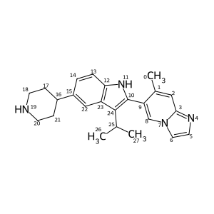 Cc1cc2nccn2cc1-c1[nH]c2ccc(C3CCNCC3)cc2c1C(C)C